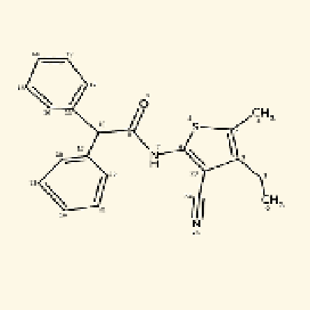 CCc1c(C)sc(NC(=O)C(c2ccccc2)c2ccccc2)c1C#N